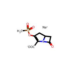 CS(=O)(=O)OC1=C(C(=O)[O-])N2C(=O)CC2C1.[Na+]